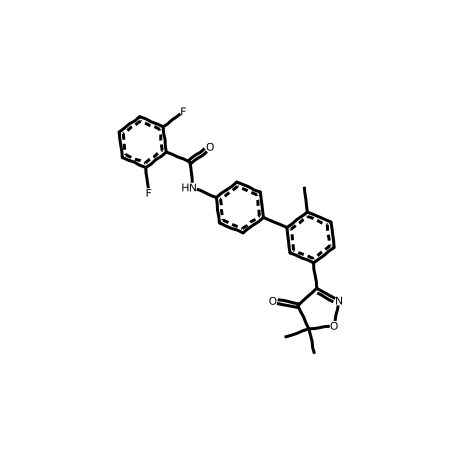 Cc1ccc(C2=NOC(C)(C)C2=O)cc1-c1ccc(NC(=O)c2c(F)cccc2F)cc1